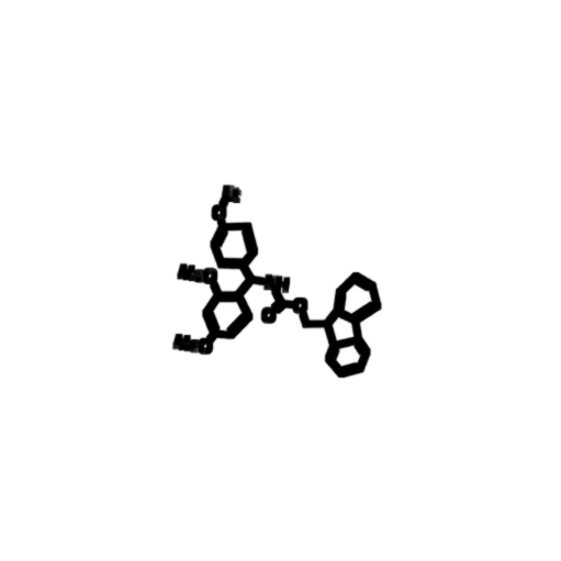 CCOc1ccc(C(NC(=O)OCC2c3ccccc3-c3ccccc32)c2ccc(OC)cc2OC)cc1